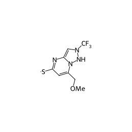 COCC1=CC([S])=NC2=CN(C(F)(F)F)NN12